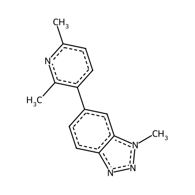 Cc1ccc(-c2ccc3nnn(C)c3c2)c(C)n1